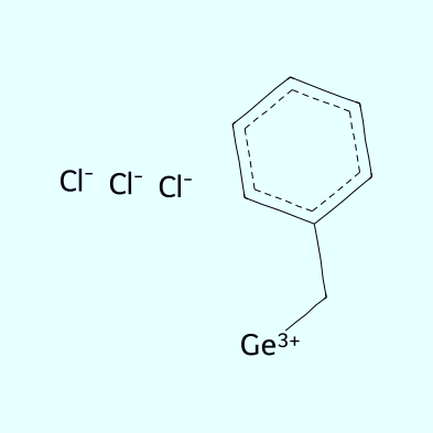 [Cl-].[Cl-].[Cl-].[Ge+3][CH2]c1ccccc1